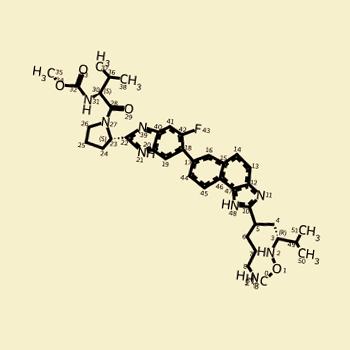 CON[C@H](CC(CCCN)c1nc2ccc3cc(-c4cc5[nH]c([C@@H]6CCCN6C(=O)[C@@H](NC(=O)OC)C(C)C)nc5cc4F)ccc3c2[nH]1)C(C)C